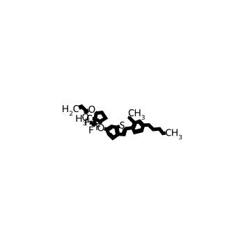 C=CC(=O)OC1CCC(Oc2ccc3cc(-c4ccc(CCCCC)cc4CC)sc3c2)C1(C)C(F)(F)F